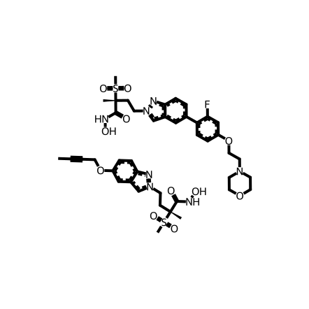 CC#CCOc1ccc2nn(CC[C@](C)(C(=O)NO)S(C)(=O)=O)cc2c1.C[C@@](CCn1cc2cc(-c3ccc(OCCN4CCOCC4)cc3F)ccc2n1)(C(=O)NO)S(C)(=O)=O